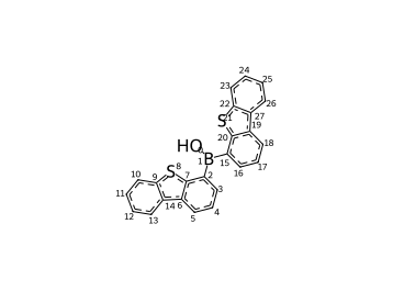 OB(c1cccc2c1sc1ccccc12)c1cccc2c1sc1ccccc12